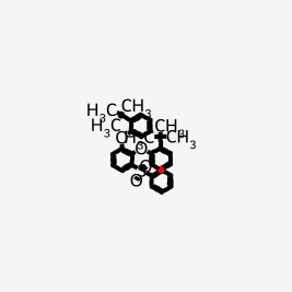 CC(C)(C)c1ccccc1Oc1cccc(S(=O)(=O)c2ccccc2)c1Oc1ccccc1C(C)(C)C